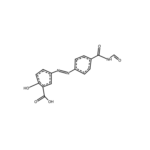 O=CNC(=O)c1ccc(/N=N/c2ccc(O)c(C(=O)O)c2)cc1